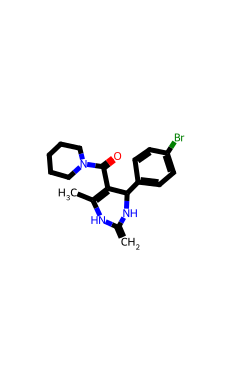 C=C1NC(C)=C(C(=O)N2CCCCC2)C(c2ccc(Br)cc2)N1